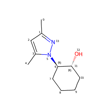 Cc1cc(C)n([C@@H]2CCCC[C@H]2O)n1